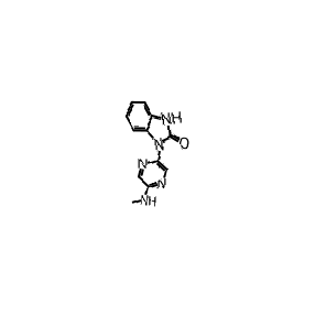 CNc1cnc(-n2c(=O)[nH]c3ccccc32)cn1